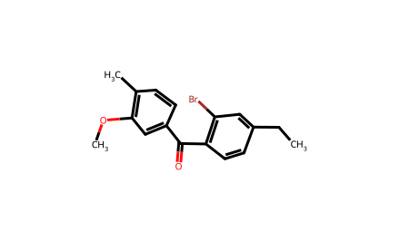 CCc1ccc(C(=O)c2ccc(C)c(OC)c2)c(Br)c1